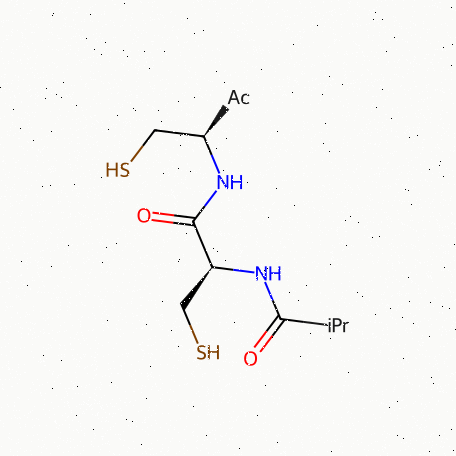 CC(=O)[C@H](CS)NC(=O)[C@H](CS)NC(=O)C(C)C